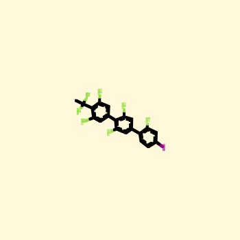 CC(F)(F)c1c(F)cc(-c2c(F)cc(-c3ccc(I)cc3F)cc2F)cc1F